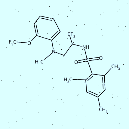 Cc1cc(C)c(S(=O)(=O)NC(CN(C)c2ccccc2OC(F)(F)F)C(F)(F)F)c(C)c1